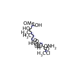 CO/C(=C/CC(O)C(C)/C=C(C)/C=C\C=C/C(=O)NC(C(=O)N/C=C\CC(C/C=C(\C)Cl)OC(N)=O)C(C)(C)C)CO